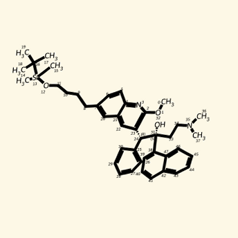 COc1nc2ccc(CCCCO[Si](C)(C)C(C)(C)C)cc2cc1[C@@H](c1ccccc1)[C@@](O)(CCN(C)C)c1cccc2ccccc12